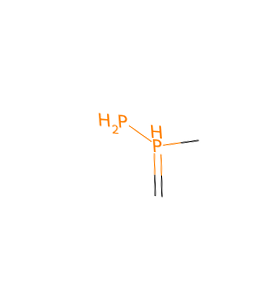 C=[PH](C)P